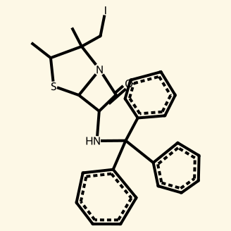 CC1SC2C(NC(c3ccccc3)(c3ccccc3)c3ccccc3)C(=O)N2C1(C)CI